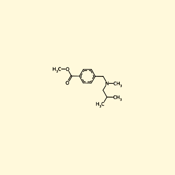 COC(=O)c1ccc(CN(C)CC(C)C)cc1